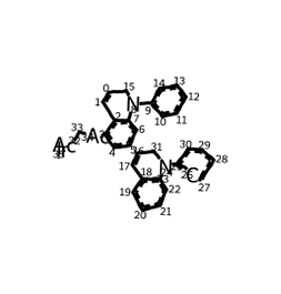 C1=Cc2ccccc2N(c2ccccc2)C1.C1=Cc2ccccc2N(c2ccccc2)C1.CC(=O)CC(C)=O.[Ir]